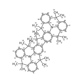 CC1(C)c2cccc3c2N2c4c1cccc4C(C)(C)c1c2c(cc2c1C(C)(C)c1c-2cc2c4c1C(C)(C)c1cccc5c1N4c1c(cccc1C2(C)C)C5(C)C)C3(C)C